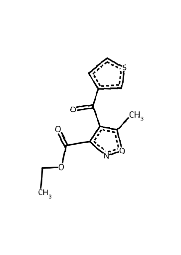 CCOC(=O)c1noc(C)c1C(=O)c1ccsc1